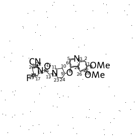 COc1cc2nccc(OC3CCN(CC(=O)N4C[C@@H](F)C[C@H]4C#N)CC3)c2cc1OC